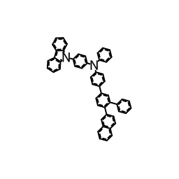 c1ccc(-c2cc(-c3ccc(N(c4ccccc4)c4ccc(-n5c6ccccc6c6ccccc65)cc4)cc3)ccc2-c2ccc3ccccc3c2)cc1